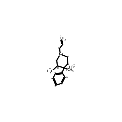 Br.C=CCN1CCC(C)(c2ccccc2)C(C)C1